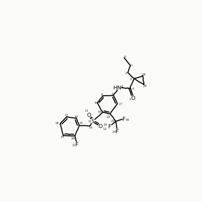 CCCC1(C(=O)Nc2ccc(S(=O)(=O)Cc3ccccc3F)c(C(F)(F)F)c2)CC1